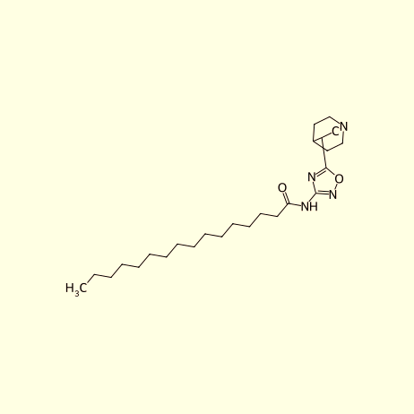 CCCCCCCCCCCCCCCC(=O)Nc1noc(C2CN3CCC2CC3)n1